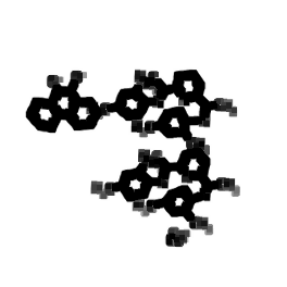 CC(=Nc1ccc(C)cc1C)c1cccc(C(C)=Nc2ccc(C)cc2C)n1.CC(=Nc1ccc(C)cc1C)c1cccc(C(C)=Nc2ccc(C)cc2C)n1.[Co+].[Co+].[O-]c1c([O-])c2ccccc2c2ccccc12